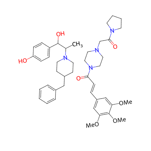 CC(C(O)c1ccc(O)cc1)N1CCC(Cc2ccccc2)CC1.COc1cc(/C=C/C(=O)N2CCN(CC(=O)N3CCCC3)CC2)cc(OC)c1OC